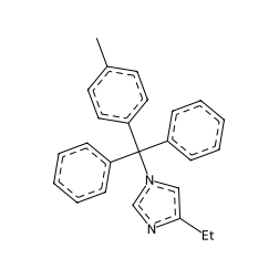 CCc1cn(C(c2ccccc2)(c2ccccc2)c2ccc(C)cc2)cn1